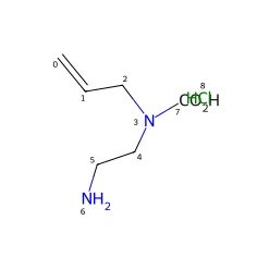 C=CCN(CCN)C(=O)O.Cl